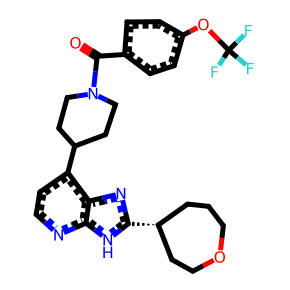 O=C(c1ccc(OC(F)(F)F)cc1)N1CCC(c2ccnc3[nH]c([C@@H]4CCCOCC4)nc23)CC1